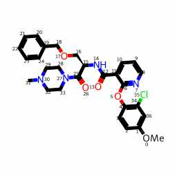 COc1ccc(Oc2ncccc2C(=O)N[C@H](COCc2ccccc2)C(=O)N2CCN(C)CC2)c(Cl)c1